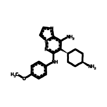 COc1ccc(Nc2nn3ccnc3c(N)c2[C@H]2CC[C@H](N)CC2)cc1